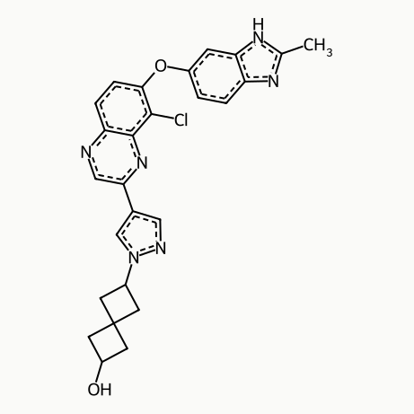 Cc1nc2ccc(Oc3ccc4ncc(-c5cnn(C6CC7(CC(O)C7)C6)c5)nc4c3Cl)cc2[nH]1